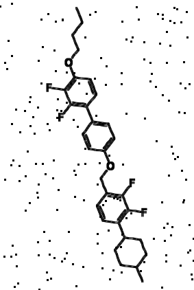 CCCCOc1ccc(-c2ccc(OCc3ccc(C4CCC(C)CC4)c(F)c3F)cc2)c(F)c1F